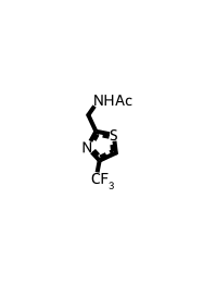 CC(=O)NCc1nc(C(F)(F)F)cs1